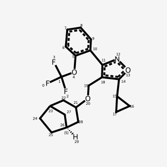 FC(F)(F)Oc1ccccc1-c1noc(C2CC2)c1COC1CC2CC[C@@H](C2)C1